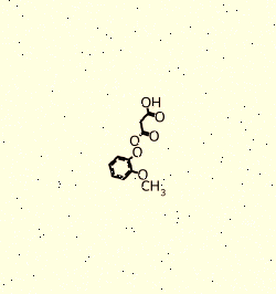 COc1ccccc1OOC(=O)CC(=O)O